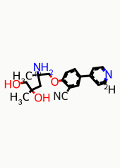 [2H]c1cc(-c2ccc(OC[C@@](C)(N)CC(C)(O)CO)c(C#N)c2)ccn1